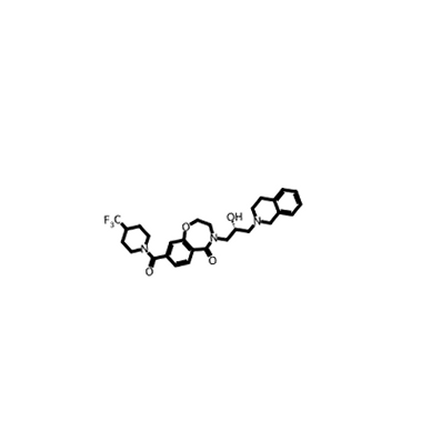 O=C(c1ccc2c(c1)OCCN(C[C@H](O)CN1CCc3ccccc3C1)C2=O)N1CCC(C(F)(F)F)CC1